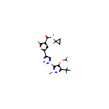 CCN(C(=O)c1cc(-c2cn(-c3c(OC(F)F)c(C(F)(F)C(F)(F)F)nn3C)nn2)sc1C#N)C1(C#N)CC1